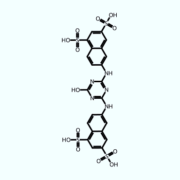 O=S(=O)(O)c1cc(S(=O)(=O)O)c2ccc(Nc3nc(O)nc(Nc4ccc5c(S(=O)(=O)O)cc(S(=O)(=O)O)cc5c4)n3)cc2c1